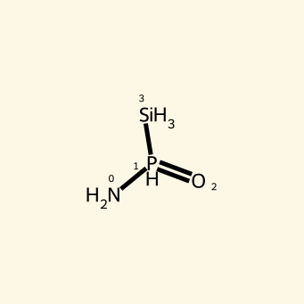 N[PH](=O)[SiH3]